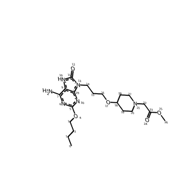 CCCCOc1nc(N)c2[nH]c(=O)n(CCCOC3CCN(CC(=O)OC)CC3)c2n1